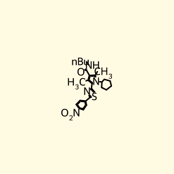 CCCCNC(=O)c1c(C)c(-c2csc(-c3ccc([N+](=O)[O-])cc3)n2)n(C2CCCCC2)c1C